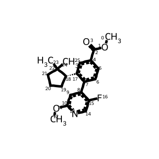 COC(=O)c1ccc(-c2cc(OC)ncc2F)c([C@@H]2CCCC2(C)C)c1